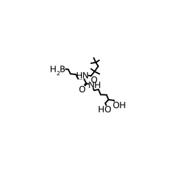 BCCCC[C@H](NC(=O)C(C)(C)CC(C)(C)C)C(=O)NCCCCC(CO)CO